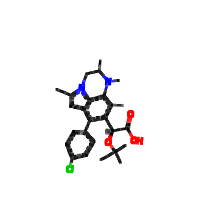 Cc1c([C@H](OC(C)(C)C)C(=O)O)c(-c2ccc(Cl)cc2)c2cc(C)n3c2c1N(C)C(C)C3